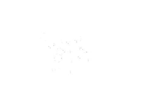 CN[C@@H](C)C(=O)N[C@H](C(=O)N1CCN(C(=O)c2c(C(=O)N3CCC[C@H]3COC)c3ccc(OC)cc3n2C)CC1)C1CCCCC1.Cl